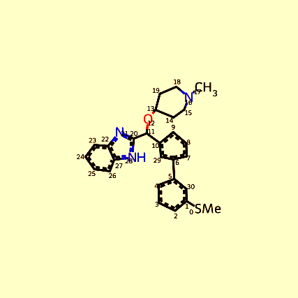 CSc1cccc(-c2cccc(C(OC3CCN(C)CC3)c3nc4ccccc4[nH]3)c2)c1